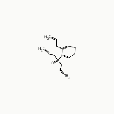 C=CCc1ccccc1P(=O)(CC=C)CC=C